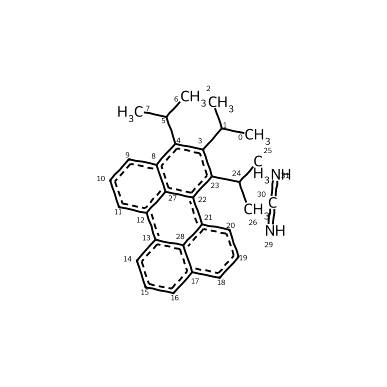 CC(C)c1c(C(C)C)c2cccc3c4cccc5cccc(c(c1C(C)C)c23)c54.N=C=N